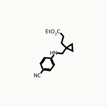 CCOC(=O)CCC1(CNc2ccc(C#N)cc2)CC1